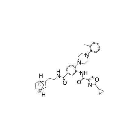 Cc1ccccc1N1CCN(c2ccc(C(=O)NCCC3C[C@H]4CC[C@@H]3C4)cc2NC(=O)c2coc(C3CC3)n2)CC1